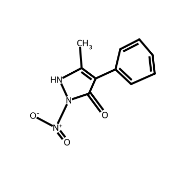 Cc1[nH]n([N+](=O)[O-])c(=O)c1-c1ccccc1